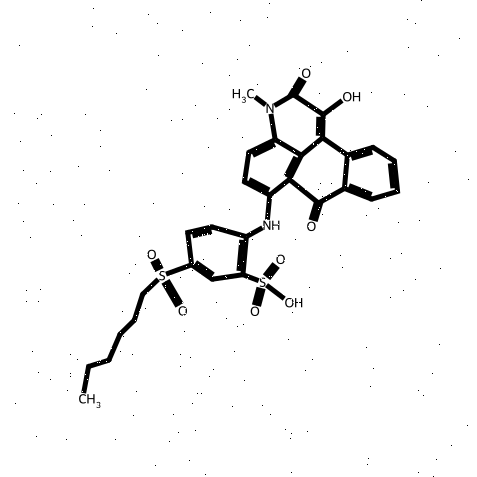 CCCCCCS(=O)(=O)c1ccc(Nc2ccc3c4c2C(=O)c2ccccc2-c4c(O)c(=O)n3C)c(S(=O)(=O)O)c1